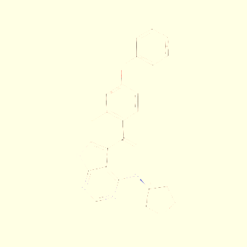 O=C(c1ccc(Oc2ccccc2)cc1Cl)c1c[nH]c2ncnc(N[C@H]3CCOC3)c12